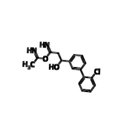 CC(=N)OC(=N)CC(O)c1cccc(-c2ccccc2Cl)c1